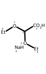 CCOC(OCC)C(=O)O.[NaH]